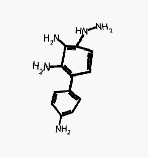 NNc1ccc(-c2ccc(N)cc2)c(N)c1N